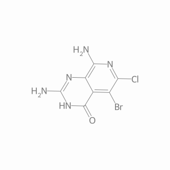 Nc1nc2c(N)nc(Cl)c(Br)c2c(=O)[nH]1